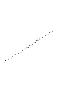 [CH2]CCCCCCCC/C=C/CCCCCCCCCCCCCCCCCCC